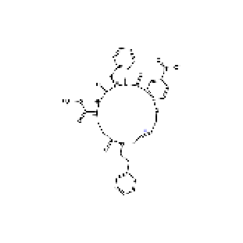 COC(=O)[C@@H]1CCC(=O)N(CCc2ccccc2)C/C=C/COc2ccc([N+](=O)[O-])cc2C(=O)N[C@H](Cc2ccccc2)C(=O)N1